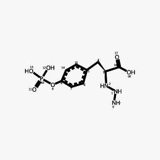 [NH]NN[C@@H](Cc1ccc(OP(=O)(O)O)cc1)C(=O)O